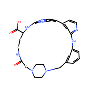 O=C1CN2CCN(CC2)Cc2cccc(c2)Nc2cc(ccn2)-c2cnc(nc2)NC(C(=O)O)CCN1